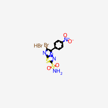 Br.NS(=O)(=O)c1nn2c(-c3ccc([N+](=O)[O-])cc3)c(Br)nc2s1